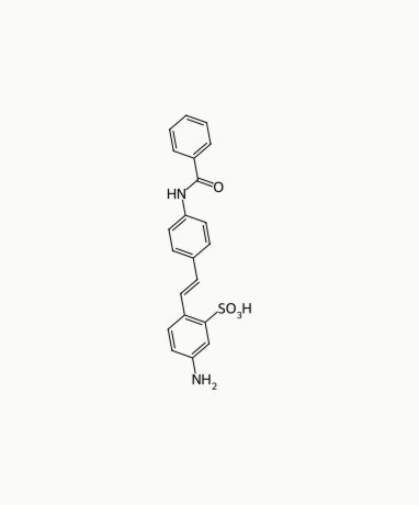 Nc1ccc(C=Cc2ccc(NC(=O)c3ccccc3)cc2)c(S(=O)(=O)O)c1